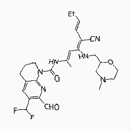 CC/C=C/C(C#N)=C(\C=C(/C)NC(=O)N1CCCc2cc(C(F)F)c(C=O)nc21)NCC1CN(C)CCO1